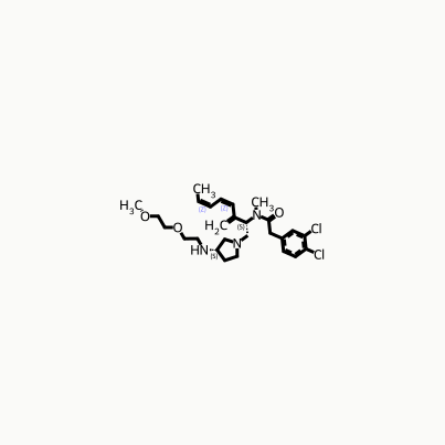 C=C(/C=C\C=C/C)[C@@H](CN1CC[C@H](NCCOCCOC)C1)N(C)C(=O)Cc1ccc(Cl)c(Cl)c1